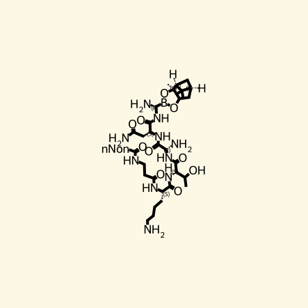 CCCCCCCCCC(=O)NCCC(=O)N[C@@H](CCCCN)C(=O)N[C@H](C(=O)N[C@@H](N)C(=O)N[C@@H](CC(N)=O)C(=O)N[C@@H](N)B1OC2C[C@@H]3C[C@@H](C3(C)C)[C@]2(C)O1)C(C)O